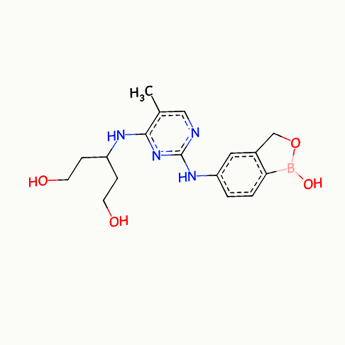 Cc1cnc(Nc2ccc3c(c2)COB3O)nc1NC(CCO)CCO